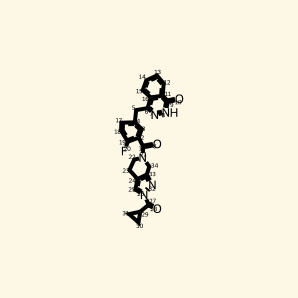 O=C(c1cc(Cc2n[nH]c(=O)c3ccccc23)ccc1F)N1CCc2cn(C(=O)C3CC3)nc2C1